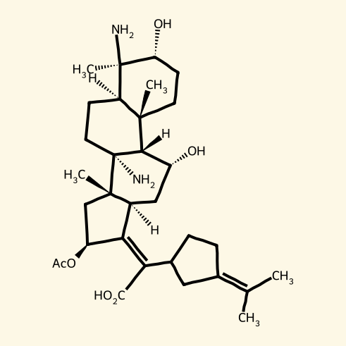 CC(=O)O[C@H]1C[C@@]2(C)[C@@H](C[C@@H](O)[C@H]3[C@@]4(C)CC[C@@H](O)[C@](C)(N)[C@@H]4CC[C@@]32N)/C1=C(/C(=O)O)C1CCC(=C(C)C)C1